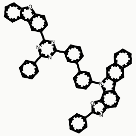 c1ccc(-c2nc(-c3cccc(-c4cccc(-n5c6cc7ccccc7cc6c6ccc7nc(-c8ccccc8)oc7c65)c4)c3)nc(-c3ccc4oc5ccccc5c4c3)n2)cc1